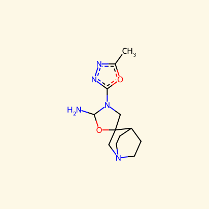 Cc1nnc(N2CC3(CN4CCC3CC4)OC2N)o1